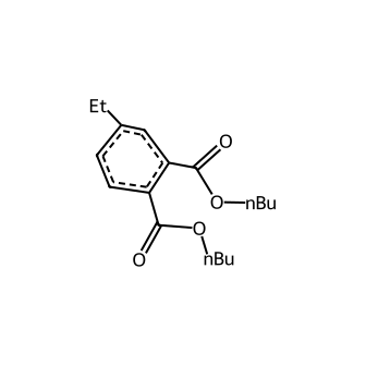 CCCCOC(=O)c1ccc(CC)cc1C(=O)OCCCC